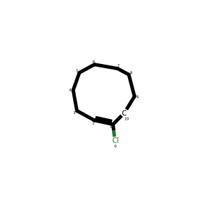 ClC1=CCCCCCCCC1